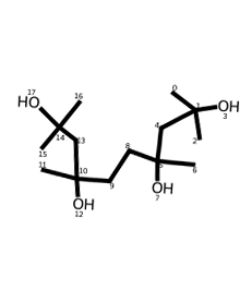 CC(C)(O)CC(C)(O)CCC(C)(O)CC(C)(C)O